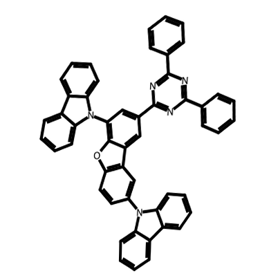 c1ccc(-c2nc(-c3ccccc3)nc(-c3cc(-n4c5ccccc5c5ccccc54)c4oc5ccc(-n6c7ccccc7c7ccccc76)cc5c4c3)n2)cc1